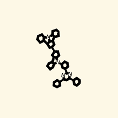 c1ccc(-c2cc(-c3ccccc3)nc(-c3cccc(-n4c5ccccc5c5cc(-c6cc7c8ccccc8n8c9ccccc9c(c6)c78)ccc54)c3)n2)cc1